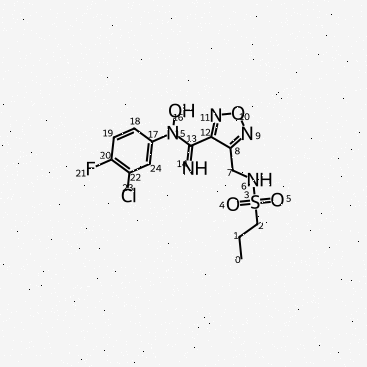 CCCS(=O)(=O)NCc1nonc1C(=N)N(O)c1ccc(F)c(Cl)c1